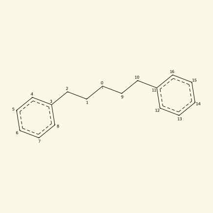 [CH](CCc1ccccc1)CCc1ccccc1